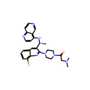 C[C@H](Nc1ccnc2ccncc12)c1cc2cccc(Cl)c2nc1N1CCN(C(=O)CN(C)C)CC1